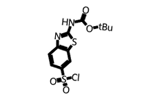 CC(C)(C)OC(=O)Nc1nc2ccc(S(=O)(=O)Cl)cc2s1